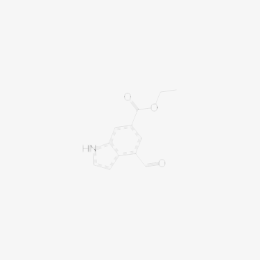 CCOC(=O)c1cc(C=O)c2cc[nH]c2c1